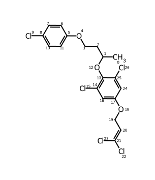 CC(CCOc1ccc(Cl)cc1)Oc1c(Cl)cc(OCC=C(Cl)Cl)cc1Cl